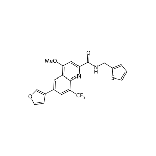 COc1cc(C(=O)NCc2cccs2)nc2c(C(F)(F)F)cc(-c3ccoc3)cc12